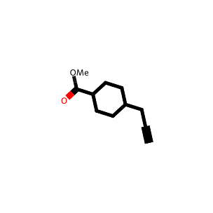 C#CCC1CCC(C(=O)OC)CC1